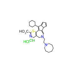 Cl.Cl.O=C(O)C1=NCC2=C(S1)C1=C(C3CCCCC3)C3=CC=CC3C1=CN(CCN1CCCCCCC1)C2